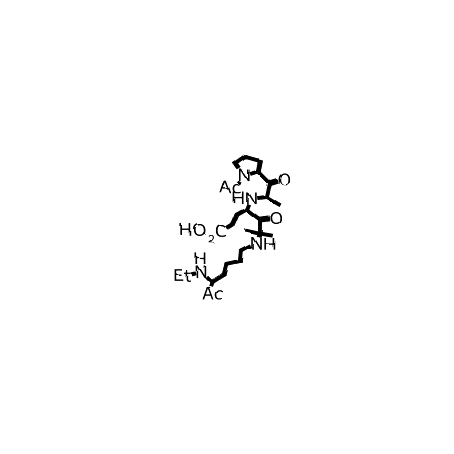 CCNC(CCCCNC(C)(C)C(=O)C(CCC(=O)O)NC(C)C(=O)C1CCCN1C(C)=O)C(C)=O